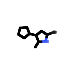 CC(C)C1CC(C2CCCC2)C(C)N1